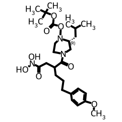 COc1ccc(CCCC(CC(=O)N(O)O)C(=O)N2CCN(OC(=O)OC(C)(C)C)[C@H](CC(C)C)C2)cc1